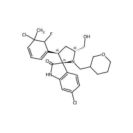 CC1(Cl)C=CC=C([C@H]2C[C@H](CO)N(CC3CCCOC3)[C@@]23C(=O)Nc2cc(Cl)ccc23)C1F